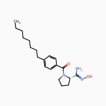 CCCCCCCCc1ccc(C(=O)N2CCC[C@H]2/C(N)=N/O)cc1